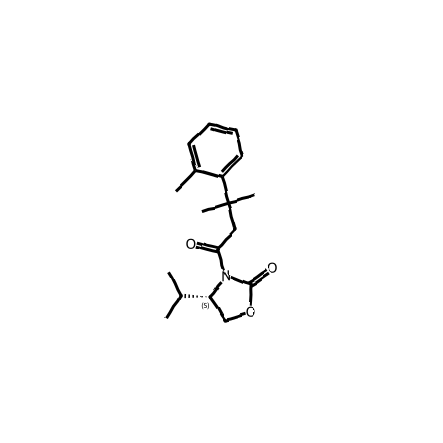 Cc1ccccc1C(C)(C)CC(=O)N1C(=O)OC[C@@H]1C(C)C